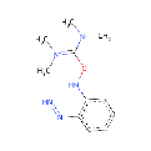 CN(C)C(ONc1ccccc1N=N)=[N+](C)C